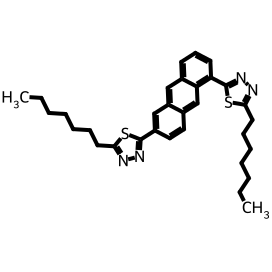 CCCCCCCc1nnc(-c2ccc3cc4c(-c5nnc(CCCCCCC)s5)cccc4cc3c2)s1